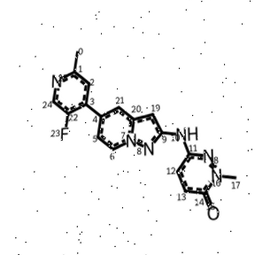 Cc1cc(-c2ccn3nc(Nc4ccc(=O)n(C)n4)cc3c2)c(F)cn1